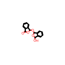 O=C1OC(OC2OC(O)c3ccccc32)c2ccccc21